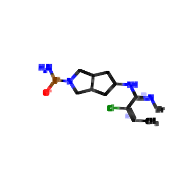 C/C=C(Cl)\C(=N/C(C)C)NC1CC2CN([S+](N)[O-])CC2C1